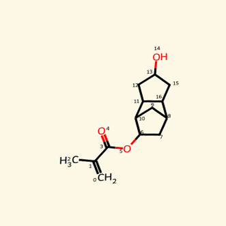 C=C(C)C(=O)OC1CC2CC1C1CC(O)CC21